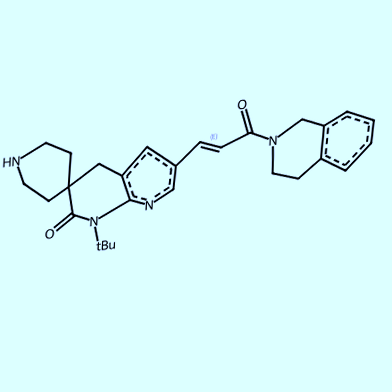 CC(C)(C)N1C(=O)C2(CCNCC2)Cc2cc(/C=C/C(=O)N3CCc4ccccc4C3)cnc21